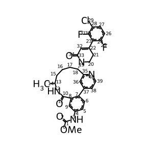 COC(=O)Nc1ccc2c(c1)C(=O)NC(C)CCC[C@H](N1CCC(c3c(F)ccc(Cl)c3F)=CC1=O)c1cc-2ccn1